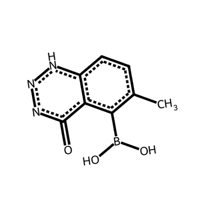 Cc1ccc2[nH]nnc(=O)c2c1B(O)O